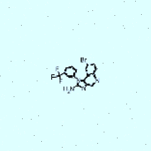 Nc1nc2cnc3ccc(Br)cc3c2n1-c1cccc(C(F)(F)F)c1